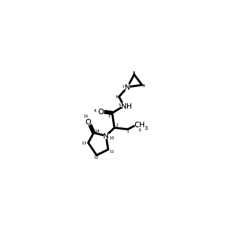 CCC(C(=O)NCN1CC1)N1CCCC1=O